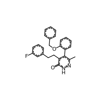 Cc1n[nH]c(=O)c(CCc2cccc(F)c2)c1-c1ccccc1OCc1ccccc1